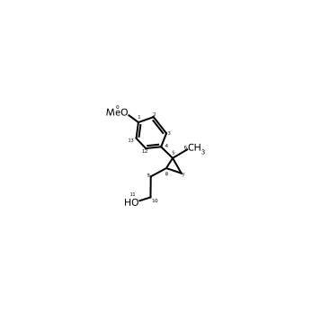 COc1ccc(C2(C)CC2CCO)cc1